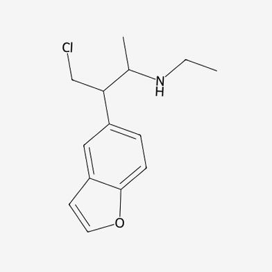 CCNC(C)C(CCl)c1ccc2occc2c1